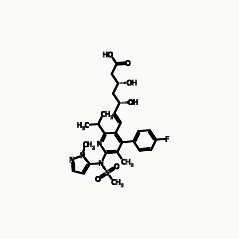 Cc1c(N(c2ccnn2C)S(C)(=O)=O)nc(C(C)C)c(/C=C/[C@@H](O)C[C@@H](O)CC(=O)O)c1-c1ccc(F)cc1